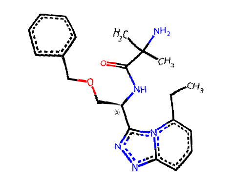 CCc1cccc2nnc([C@@H](COCc3ccccc3)NC(=O)C(C)(C)N)n12